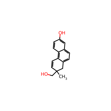 CC1(CO)C=Cc2c(ccc3cc(O)ccc23)C1